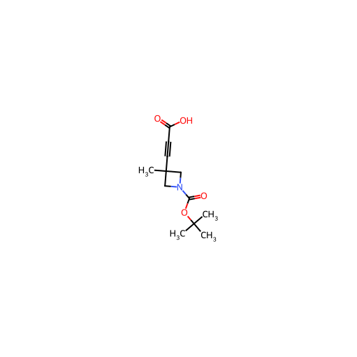 CC1(C#CC(=O)O)CN(C(=O)OC(C)(C)C)C1